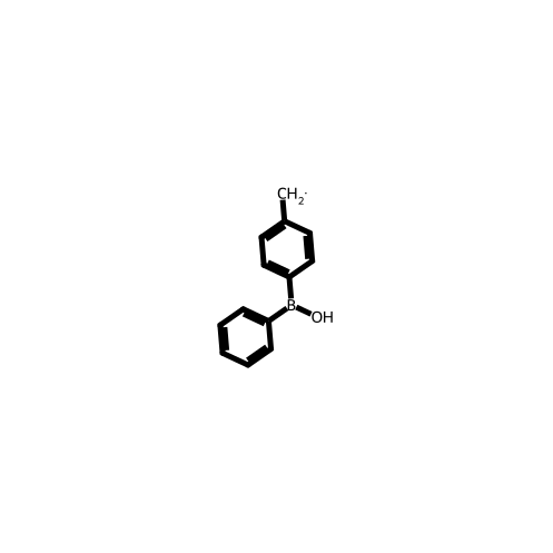 [CH2]c1ccc(B(O)c2ccccc2)cc1